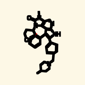 CC1CCN(Cc2ccc(-c3[nH]c4ncc5c(c4c3-c3ccccc3)n(C3CCOCC3)c(=O)n5C)cc2)CC1